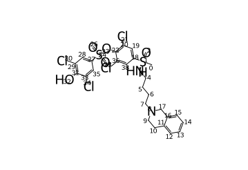 C[SH](=O)(NCCCCN1CCc2ccccc2C1)c1cc(Cl)c(OS(=O)(=O)c2cc(Cl)c(O)c(Cl)c2)c(Cl)c1